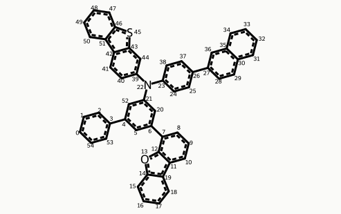 c1ccc(-c2cc(-c3cccc4c3oc3ccccc34)cc(N(c3ccc(-c4ccc5ccccc5c4)cc3)c3ccc4c(c3)sc3ccccc34)c2)cc1